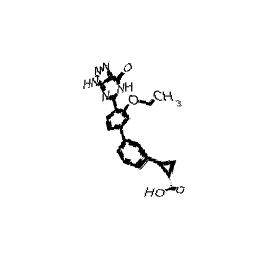 CCOc1cc(-c2cccc(C3C[C@@H]3C(=O)O)c2)ccc1-c1nc2[nH]nnc2c(=O)[nH]1